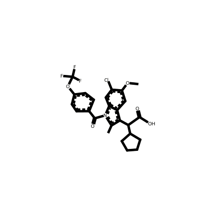 COc1cc2c(C(C(=O)O)C3CCCC3)c(C)n(C(=O)c3ccc(OC(F)(F)F)cc3)c2cc1Cl